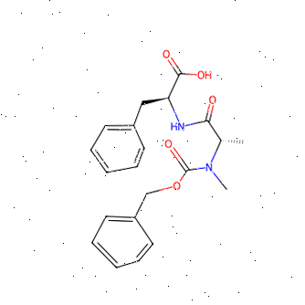 C[C@@H](C(=O)N[C@@H](Cc1ccccc1)C(=O)O)N(C)C(=O)OCc1ccccc1